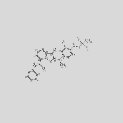 CC(c1cnc(OCC(C)(F)F)c(Cl)c1)N1Cc2c(ccnc2C(=O)Oc2ccccc2)C1=O